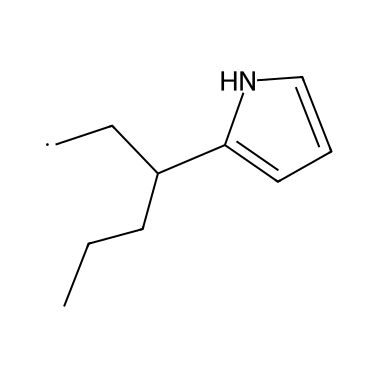 [CH2]CC(CCC)c1ccc[nH]1